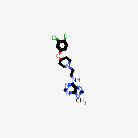 Cn1cnc2c(NCCN3CCC(Oc4ccc(Cl)c(Cl)c4)CC3)ncnc21